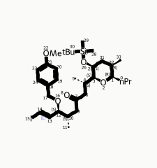 CCC[C@H]1O[C@@H]([C@@H](C)CC(=O)C[C@H](C)[C@@H](/C=C/I)OCc2ccc(OC)cc2)[C@@H](O[Si](C)(C)C(C)(C)C)C[C@H]1C